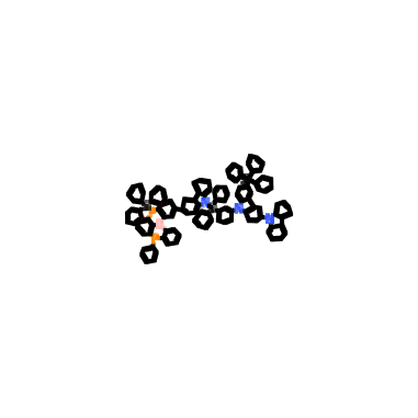 c1ccc(P2c3ccccc3B3c4cc(-c5ccc6c(c5)c5ccccc5n6[Si](c5ccccc5)(c5ccccc5)c5cccc(-n6c7ccc(-n8c9ccccc9c9ccccc98)cc7c7cc([Si](c8ccccc8)(c8ccccc8)c8ccccc8)ccc76)c5)ccc4P([Si](c4ccccc4)(c4ccccc4)c4ccccc4)c4cccc2c43)cc1